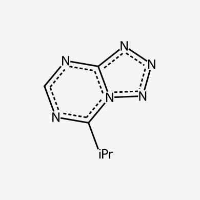 CC(C)c1ncnc2nnnn12